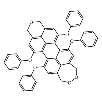 c1ccc(Oc2cc3c4c(cc(Oc5ccccc5)c5c6c(Oc7ccccc7)cc7c8c(cc(Oc9ccccc9)c(c2c45)c86)COOC7)COC3)cc1